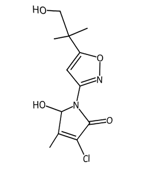 CC1=C(Cl)C(=O)N(c2cc(C(C)(C)CO)on2)C1O